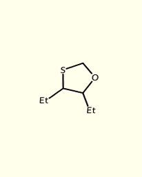 CCC1OCSC1CC